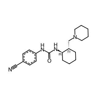 N#Cc1ccc(NC(=O)N[C@@H]2CCCC[C@H]2CN2CCCCC2)cc1